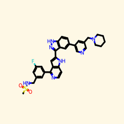 CS(=O)(=O)NCc1cc(F)cc(-c2nccc3[nH]c(-c4n[nH]c5ccc(-c6cncc(CN7CCCCC7)c6)cc45)cc23)c1